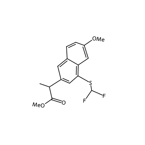 COC(=O)C(C)c1cc(SC(F)F)c2cc(OC)ccc2c1